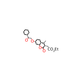 CCOC(=O)Cc1c(C)c2ccc(OCC(=O)c3ccccc3)cc2oc1=O